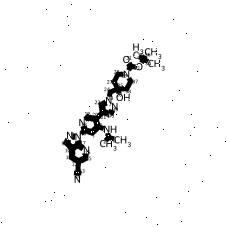 CC(C)Nc1cc(-n2ncc3cc(C#N)cnc32)ncc1-c1cn(CC2(O)CCN(C(=O)OC(C)(C)C)CC2)nn1